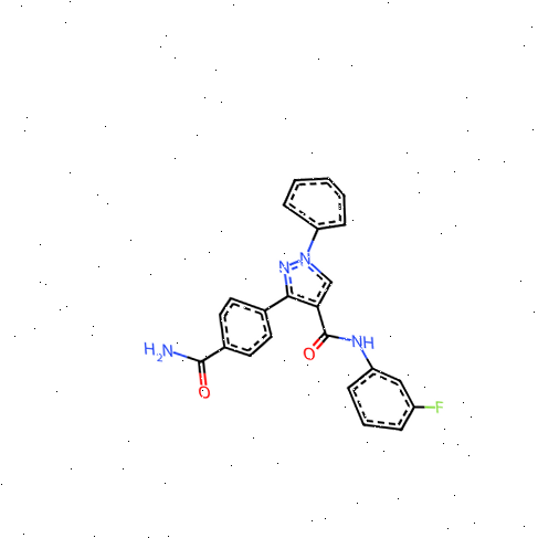 NC(=O)c1ccc(-c2nn(-c3ccccc3)cc2C(=O)Nc2cccc(F)c2)cc1